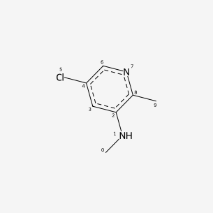 CNc1cc(Cl)cnc1C